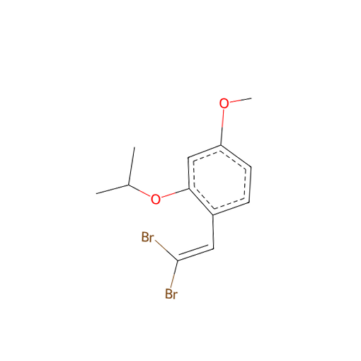 COc1ccc(C=C(Br)Br)c(OC(C)C)c1